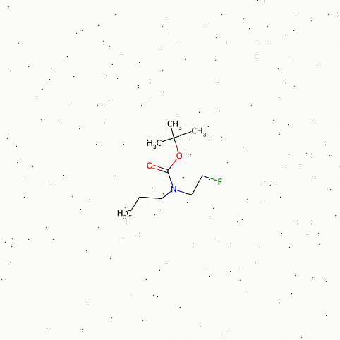 CCCN(CCF)C(=O)OC(C)(C)C